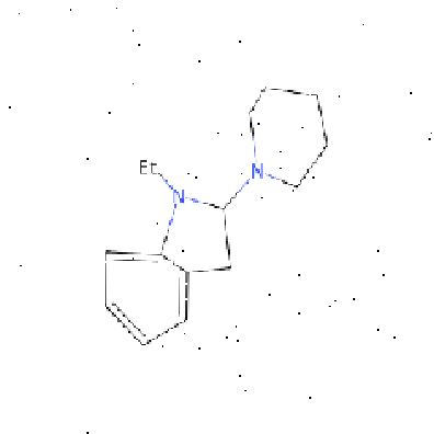 CCN1c2ccccc2CC1N1CCCCC1